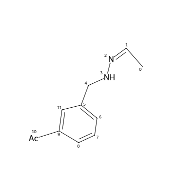 C/C=N\NCc1cccc(C(C)=O)c1